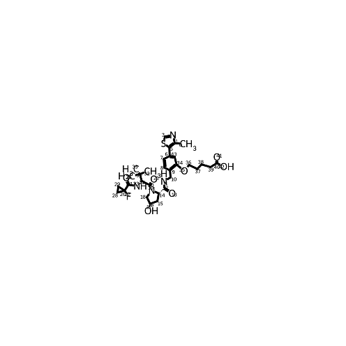 Cc1ncsc1-c1ccc(CNC(=O)[C@@H]2C[C@@H](O)CN2C(=O)[C@@H](NC(=O)C2(F)CC2)C(C)(C)C)c(OCCCCC(=O)O)c1